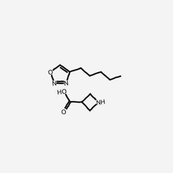 CCCCCc1conn1.O=C(O)C1CNC1